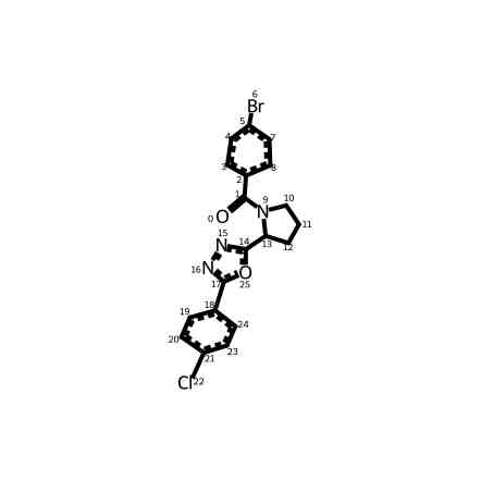 O=C(c1ccc(Br)cc1)N1CCCC1c1nnc(-c2ccc(Cl)cc2)o1